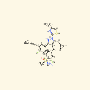 CC(C)(C)C#Cc1cc(-c2nn(-c3nc(C(=O)O)cs3)c(CC3CC3)c2Cc2ccc([SH](C)(N)=O)c(F)c2)ccc1F